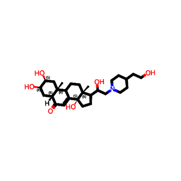 C[C@]12C[C@H](O)[C@H](O)C[C@H]1C(=O)C=C1C2CC[C@]2(C)C(C(O)CN3CCC(CCO)CC3)CC[C@@]12O